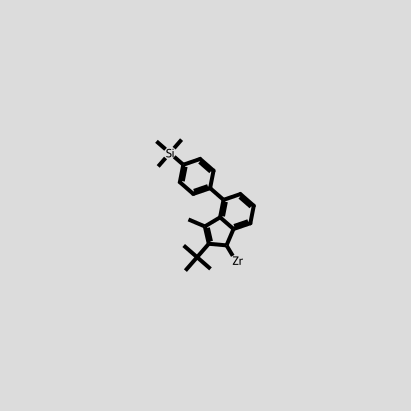 CC1=C(C(C)(C)C)[CH]([Zr])c2cccc(-c3ccc([Si](C)(C)C)cc3)c21